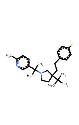 COC(C)(C(F)(F)F)C1(CCc2ccc(F)cc2)CCN(C(C)(C)c2ccc(C)nc2)C1